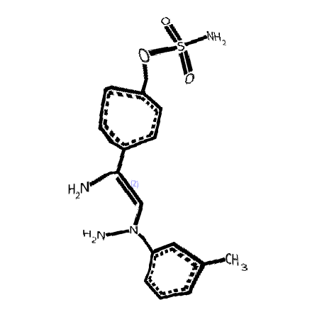 Cc1cccc(N(N)/C=C(\N)c2ccc(OS(N)(=O)=O)cc2)c1